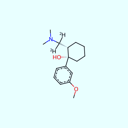 [2H]C([2H])([C@@H]1CCCC[C@@]1(O)c1cccc(OC)c1)N(C)C